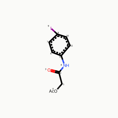 CC(=O)OCC(=O)Nc1ccc(I)cc1